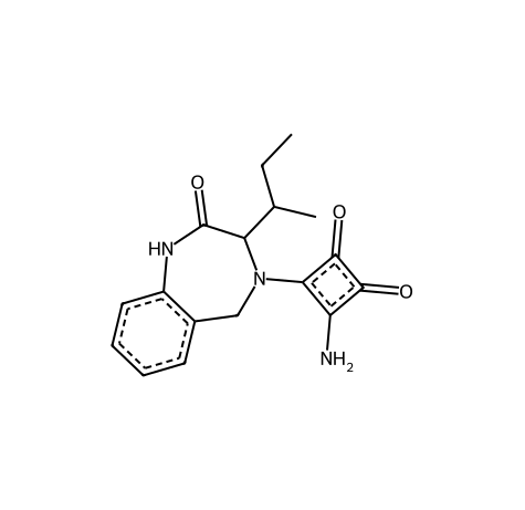 CCC(C)C1C(=O)Nc2ccccc2CN1c1c(N)c(=O)c1=O